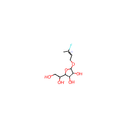 C/C(F)=C\COC1OC(C(O)CO)C(O)C1O